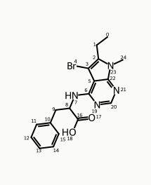 CCc1c(Br)c2c(NC(Cc3ccccc3)C(=O)O)ncnc2n1C